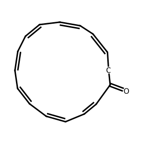 O=C1\C=C/C=C\C=C/C=C\C=C/C=C\C=C/C1